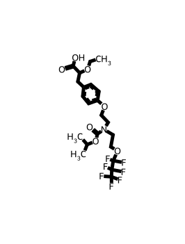 CCOC(Cc1ccc(OCCN(CCOC(F)(F)C(F)(F)C(F)(F)F)C(=O)OC(C)C)cc1)C(=O)O